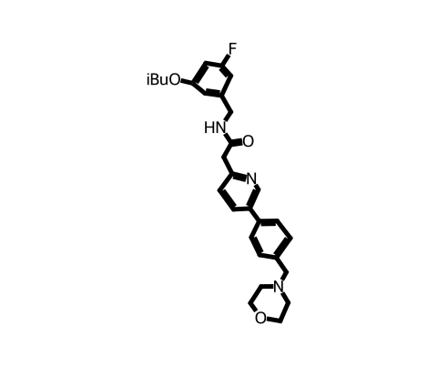 CC(C)COc1cc(F)cc(CNC(=O)Cc2ccc(-c3ccc(CN4CCOCC4)cc3)cn2)c1